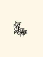 F[C](F)C(F)(F)OC(F)(F)OC(F)(F)C(F)(F)F